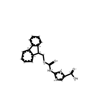 O=C(Nc1nc(C(=O)O)cs1)OCC1c2ccccc2-c2ccccc21